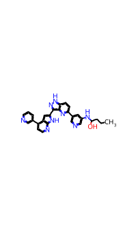 CCCC(O)Nc1cncc(-c2ccc3[nH]nc(-c4cc5c(-c6cccnc6)ccnc5[nH]4)c3n2)c1